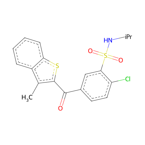 Cc1c(C(=O)c2ccc(Cl)c(S(=O)(=O)NC(C)C)c2)sc2ccccc12